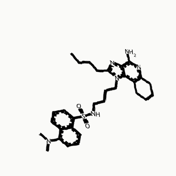 CCCCc1nc2c(N)nc3c(c2n1CCCCNS(=O)(=O)c1cccc2c(N(C)C)cccc12)CCCC3